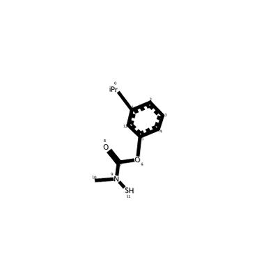 CC(C)c1cccc(OC(=O)N(C)S)c1